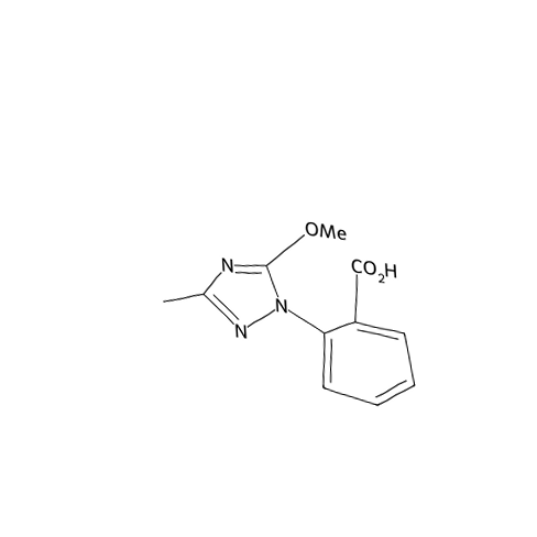 COc1nc(C)nn1-c1ccccc1C(=O)O